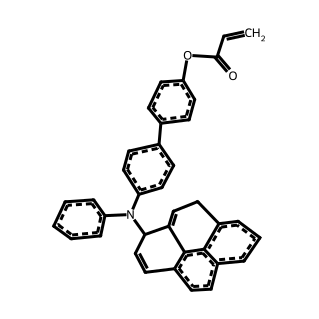 C=CC(=O)Oc1ccc(-c2ccc(N(c3ccccc3)C3C=Cc4ccc5cccc6c5c4C3=CC6)cc2)cc1